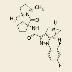 C[C@@H]1CC[C@H](C)N1C(=O)C1(NC(=O)c2nn(-c3ccc(F)cc3F)c3c2C[C@H]2C[C@@H]32)CCCC1